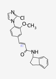 COc1cc(/C=C/C(=O)NC2CCc3ccccc32)ccc1-n1ccnc1Cl